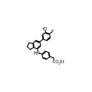 CCOC(=O)Cc1ccc(Nc2cc(-c3ccc(F)c(Cl)c3)cc3c2CCC3)cc1